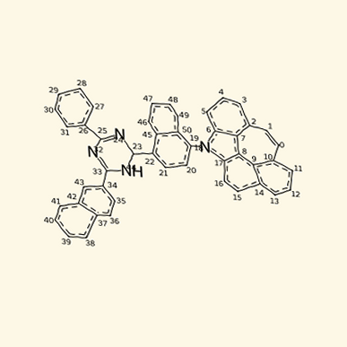 C1=Cc2cccc3c2c2c4c1cccc4ccc2n3-c1ccc(C2N=C(c3ccccc3)N=C(c3ccc4ccccc4c3)N2)c2ccccc12